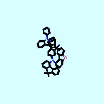 CC1(C)c2ccccc2-c2ccc(N(c3cccc4c3-c3ccccc3C4(C)C)c3cccc4oc5ccc(-c6ccc7c(c6)c6ccccc6n7-c6ccccc6)cc5c34)cc21